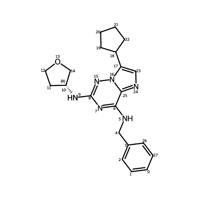 c1ccc(CNc2nc(N[C@@H]3CCOC3)nn3c(C4CCCC4)cnc23)cc1